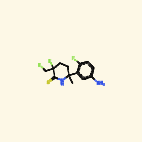 CC1(c2cc(N)ccc2F)CCC(F)(CF)C(=S)N1